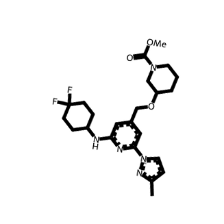 COC(=O)N1CCCC(OCc2cc(NC3CCC(F)(F)CC3)nc(-n3ccc(C)n3)c2)C1